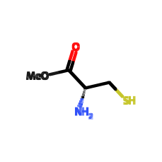 [CH]OC(=O)[C@@H](N)CS